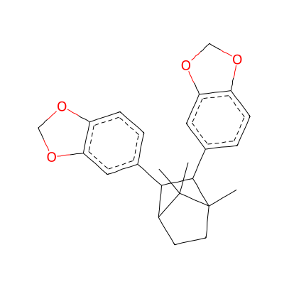 CC1(C)C2CCC1(C)C(c1ccc3c(c1)OCO3)C2c1ccc2c(c1)OCO2